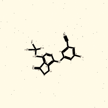 N#Cc1cc(F)cc(Oc2ccc(SC(F)(F)F)c3c2CCC3=O)c1